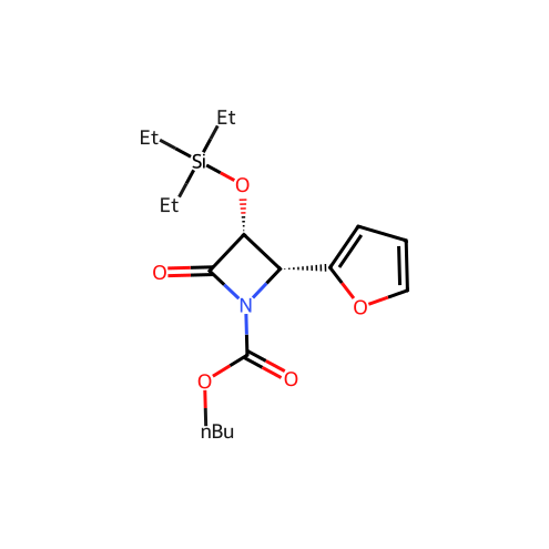 CCCCOC(=O)N1C(=O)[C@H](O[Si](CC)(CC)CC)[C@@H]1c1ccco1